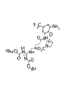 CC(C)(C)OC(=O)/N=C(\NCCCCC(=O)Nc1cc(C(F)(F)F)cc(N)c1O[C@@H]1CCN(C(=O)O)C1)NC(=O)OC(C)(C)C